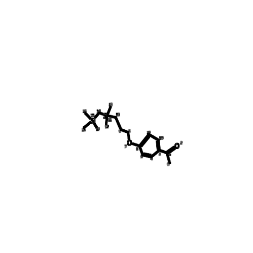 CC(=O)c1ccc(OCCC[Si](C)(C)C[Si](C)(C)C)cc1